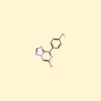 FC(F)(F)c1ccc(-c2nc(Br)cn3ncnc23)cc1